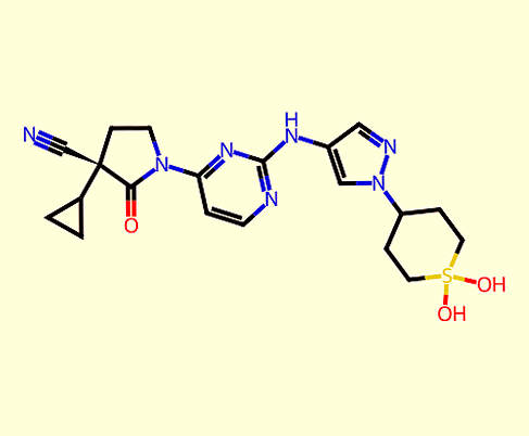 N#C[C@@]1(C2CC2)CCN(c2ccnc(Nc3cnn(C4CCS(O)(O)CC4)c3)n2)C1=O